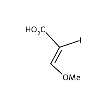 COC=C(I)C(=O)O